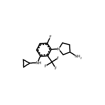 NC1CCN(c2c(F)ccc(NC3CC3)c2C(F)(F)F)C1